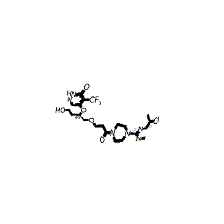 C=N/C(=N\C=C(/C)Cl)N1CCN(C(=O)CCOC[C@@H](CCO)Oc2cn[nH]c(=O)c2C(F)(F)F)CC1